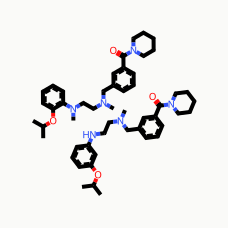 CC(C)Oc1cccc(NCCN(C)Cc2cccc(C(=O)N3CCCCC3)c2)c1.CC(C)Oc1ccccc1N(C)CCN(C)Cc1cccc(C(=O)N2CCCCC2)c1